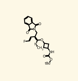 C=N/C(OC1CC(NC(=O)OC(C)(C)C)C1)=C(\C=C\F)CN1C(=O)c2ccccc2C1=O